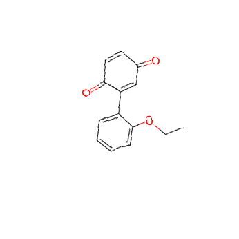 CCOc1ccccc1C1=CC(=O)C=CC1=O